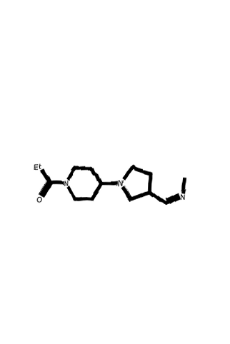 CCC(=O)N1CCC(N2CCC(/C=N\C)C2)CC1